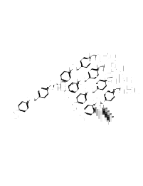 CCCCOc1ccc(COc2ccc([S])cc2)cc1.CCCCOc1ccc(COc2ccc([S])cc2)cc1.CCCCOc1ccc(COc2ccc([S])cc2)cc1.CCCCOc1ccc(COc2ccc([S])cc2)cc1.CCCCOc1ccc(COc2ccc([S])cc2)cc1.F.F.F.F.F